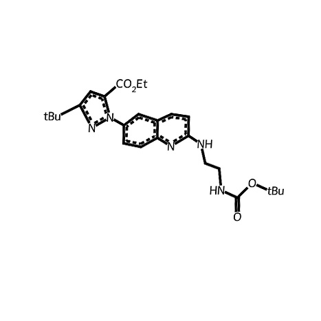 CCOC(=O)c1cc(C(C)(C)C)nn1-c1ccc2nc(NCCNC(=O)OC(C)(C)C)ccc2c1